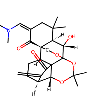 C=C1C(=O)C23[C@@H]4OC(C)(C)OC25OC[C@]2(C(=O)/C(=C\N(C)C)CC(C)(C)[C@H]2[C@@H]5O)[C@@H]3CC[C@@H]14